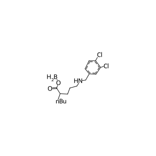 BOC(=O)C(CCCC)CCCNCc1ccc(Cl)c(Cl)c1